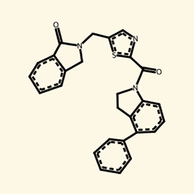 O=C1c2ccccc2CN1Cc1cnc(C(=O)N2CCc3c(-c4ccccc4)cccc32)s1